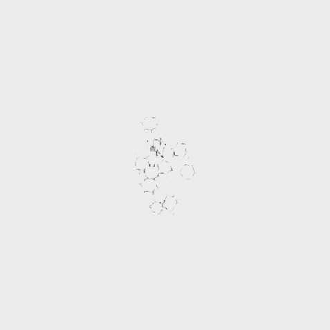 c1ccc(-c2cccc(-c3nc(-c4ccccc4)nc(-c4cccc(-c5ccc(-c6cccc7ccccc67)cc5-c5ccccc5)c4)n3)c2)cc1